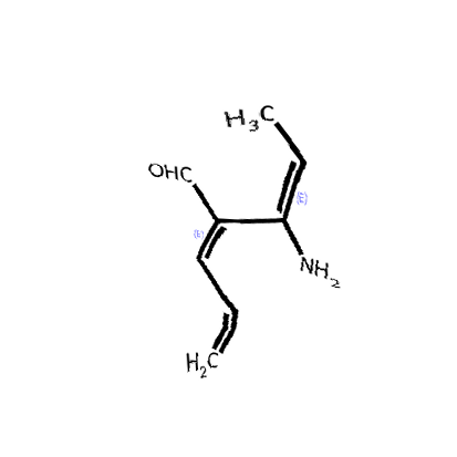 C=C/C=C(C=O)\C(N)=C/C